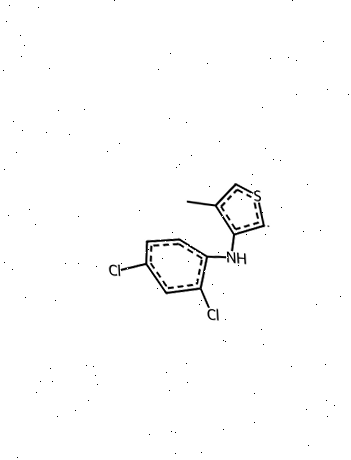 Cc1cs[c]c1Nc1ccc(Cl)cc1Cl